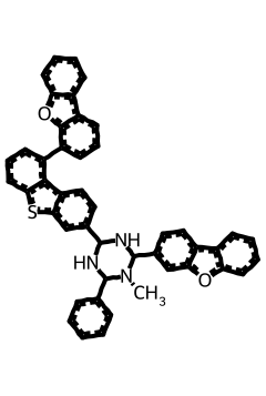 CN1C(c2ccccc2)NC(c2ccc3c(c2)sc2cccc(-c4cccc5c4oc4ccccc45)c23)NC1c1ccc2c(c1)oc1ccccc12